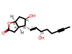 CC#CCC[C@H](O)/C=C/[C@@H]1[C@H]2CC(=O)O[C@H]2C[C@H]1O